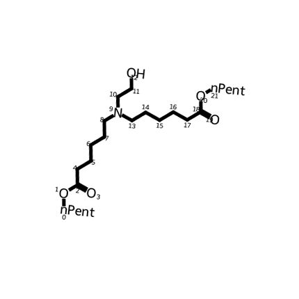 CCCCCOC(=O)CCCCCN(CCO)CCCCCC(=O)OCCCCC